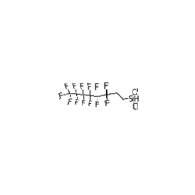 FC(F)(F)C(F)(F)C(F)(F)C(F)(F)C(F)(F)C(F)(F)CC[SiH](Cl)Cl